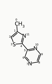 Cc1[c]sc(-c2cnccn2)n1